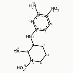 CC(C)(C)C1C(Nc2ccc([N+](=O)[O-])c(N)n2)CCCN1C(=O)O